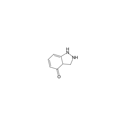 O=C1C=CC=C2NNCC12